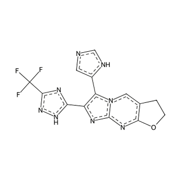 FC(F)(F)c1n[nH]c(-c2nc3nc4c(cn3c2-c2cnc[nH]2)CCO4)n1